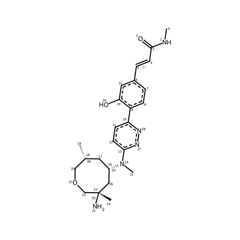 CNC(=O)/C=C/c1ccc(-c2ccc(N(C)[C@H]3C[C@@H](C)COC[C@@](C)(N)C3)nn2)c(O)c1